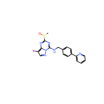 C[S+]([O-])c1nc(NCc2ccc(-c3ccccn3)cc2)n2ncc(I)c2n1